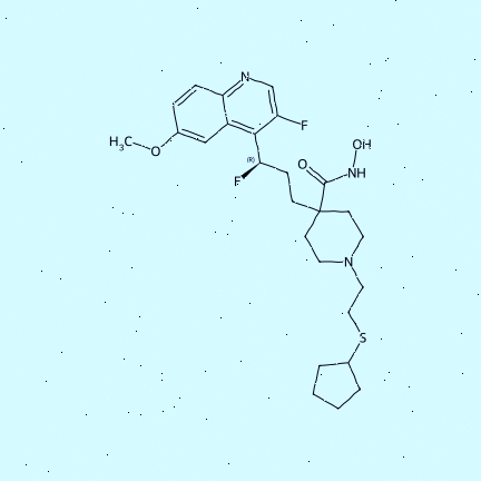 COc1ccc2ncc(F)c([C@H](F)CCC3(C(=O)NO)CCN(CCSC4CCCC4)CC3)c2c1